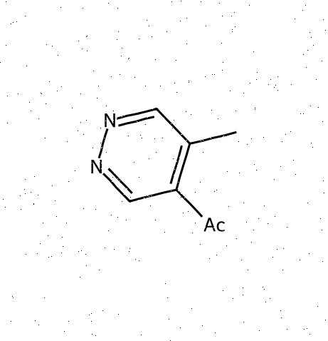 CC(=O)c1cnncc1C